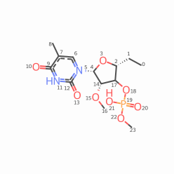 CC[C@H]1O[C@@H](n2cc(C)c(=O)[nH]c2=O)[C@@H](OC)C1OP(=O)(O)OC